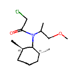 COCC(C)N(C(=O)CCl)C1[C@H](C)CCC[C@H]1C